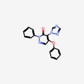 O=c1c(-n2cncn2)c(Oc2ccccc2)cnn1-c1ccccc1